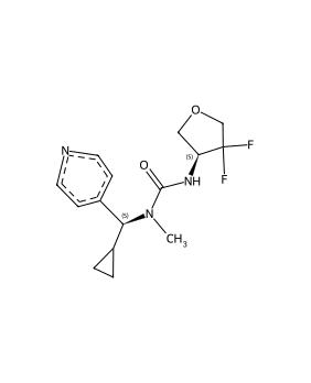 CN(C(=O)N[C@H]1COCC1(F)F)[C@H](c1ccncc1)C1CC1